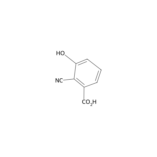 N#Cc1c(O)cccc1C(=O)O